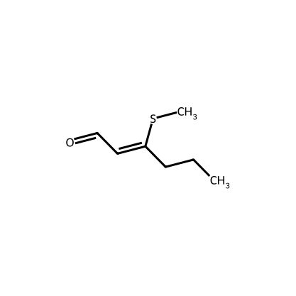 CCC/C(=C/C=O)SC